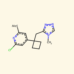 CSc1cc(C2(Cc3nncn3C)CCC2)cc(Cl)n1